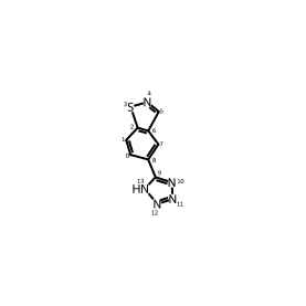 c1cc2sncc2cc1-c1nnn[nH]1